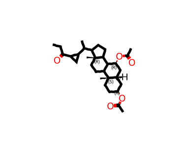 CCC(=O)C1CC1C(C)C1CCC2C3C(CC[C@]12C)[C@@]1(C)CC[C@@H](OC(C)=O)C[C@H]1C[C@H]3OC(C)=O